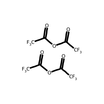 O=C(OC(=O)C(F)(F)F)C(F)(F)F.O=C(OC(=O)C(F)(F)F)C(F)(F)F